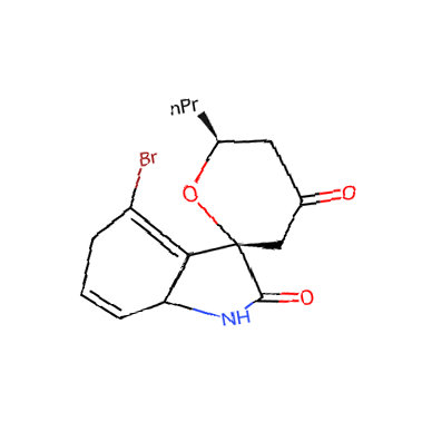 CCC[C@H]1CC(=O)C[C@@]2(O1)C(=O)NC1C=CCC(Br)=C12